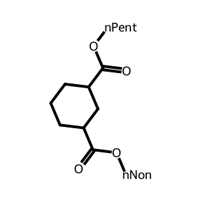 CCCCCCCCCOC(=O)C1CCCC(C(=O)OCCCCC)C1